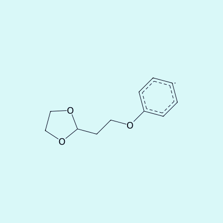 [c]1ccc(OCCC2OCCO2)cc1